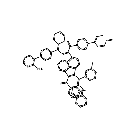 C=C/C=C\C(=C/C)c1ccc(C(=C)C2=C(/C(=C3/C=CC=CC3)c3ccc(-c4ccccc4N)cc3)c3ccc4c5c(ccc2c35)C(/C(=C2/C=c3ccccc3=CC2)c2cccc(C)c2)=C4C(=C)c2cccc(C)c2)cc1